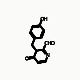 O=CC1=NC=CC(=O)C1Cc1ccc(O)cc1